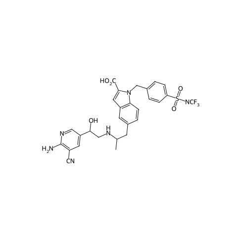 CC(Cc1ccc2c(c1)cc(C(=O)O)n2Cc1ccc(S(=O)(=O)NC(F)(F)F)cc1)NCC(O)c1cnc(N)c(C#N)c1